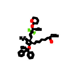 C=C1C[C@H](O[Si](c2ccccc2)(c2ccccc2)C(C)(C)C)[C@H](C/C=C/CCCC(=O)OC)[C@H]1/C=C/C(F)(F)C(CCCC)OC1CCCCO1